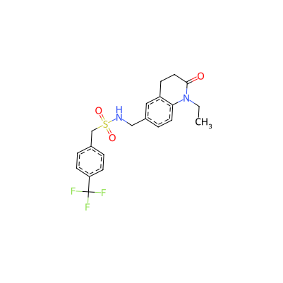 CCN1C(=O)CCc2cc(CNS(=O)(=O)Cc3ccc(C(F)(F)F)cc3)ccc21